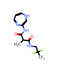 CC(C(=O)NCC(F)(F)C(F)(F)F)C(=O)NC1=CNC=CC=N1